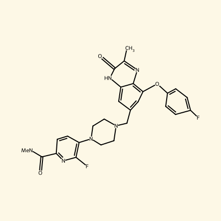 CNC(=O)c1ccc(N2CCN(Cc3cc(Oc4ccc(F)cc4)c4nc(C)c(=O)[nH]c4c3)CC2)c(F)n1